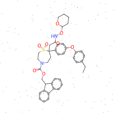 CCc1ccc(Oc2ccc(C3(CC(=O)NOC4CCCCO4)CCN(C(=O)OCC4c5ccccc5-c5ccccc54)CCS3(=O)=O)cc2)cc1